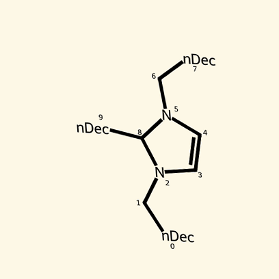 CCCCCCCCCCCN1C=CN(CCCCCCCCCCC)C1CCCCCCCCCC